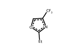 CCc1nc(C(F)(F)F)co1